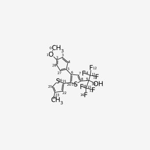 COc1ccc(-c2cc(C(O)(C(F)(F)F)C(F)(F)F)sc2-c2cc(C)cs2)cc1